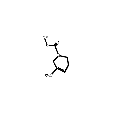 CC(C)(C)OC(=O)N1CCC=C(C=O)C1